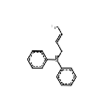 CC=CC[SiH](c1ccccc1)c1ccccc1